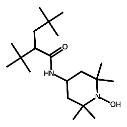 CC(C)(C)CC(C(=O)NC1CC(C)(C)N(O)C(C)(C)C1)C(C)(C)C